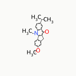 CCn1c2c(c(=O)c3cc(C(C)C)ccc31)Cc1cc(OC)ccc1-2